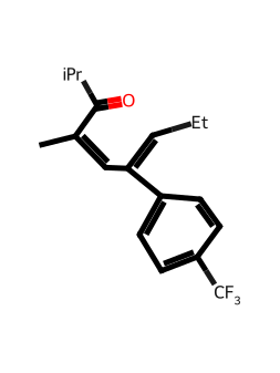 CCC=C(/C=C(/C)C(=O)C(C)C)c1ccc(C(F)(F)F)cc1